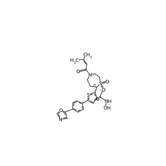 CC(C)=CC(=O)N1CC[C@](CC(=O)NO)(c2ccc(-c3ccc(-c4cnco4)cc3)s2)S(=O)(=O)CC1